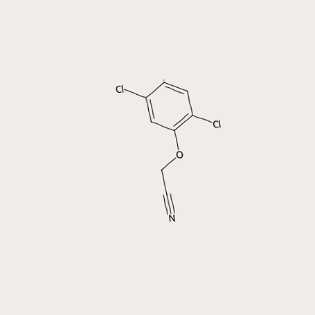 N#CCOc1cc(Cl)[c]cc1Cl